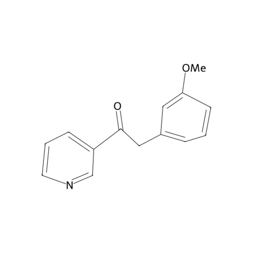 COc1cccc(CC(=O)c2cccnc2)c1